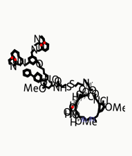 COC(=O)CC(NC(=O)CCSSCCC(=O)N(C)[C@H](C)C(=O)O[C@@H]1CC(=O)N(C)c2cc(cc(OC)c2Cl)C/C(C)=C/C=C/[C@H](OC)[C@]2(O)C[C@@H](OC(=O)N2)[C@H](C)[C@H]2O[C@]21C)C(=O)N(CCCCOc1cc(CN(Cc2ccccn2)Cc2ccccn2)cc(CN(Cc2ccccn2)Cc2ccccn2)c1)Cc1ccc(-c2ccccc2)cc1